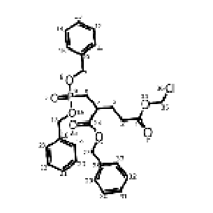 O=C(CCC(CP(=O)(OCc1ccccc1)OCc1ccccc1)C(=O)OCc1ccccc1)OCCl